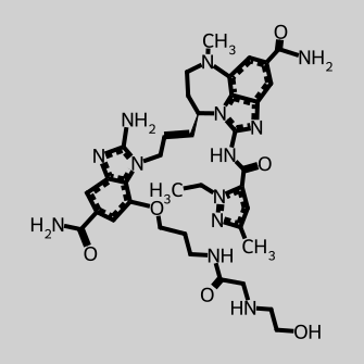 CCn1nc(C)cc1C(=O)Nc1nc2cc(C(N)=O)cc3c2n1[C@@H](/C=C/Cn1c(N)nc2cc(C(N)=O)cc(OCCCNC(=O)CNCCO)c21)CCN3C